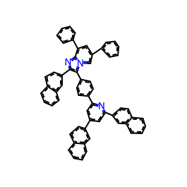 c1ccc(-c2cc(-c3ccccc3)c3nc(-c4ccc5ccccc5c4)c(-c4ccc(-c5cc(-c6ccc7ccccc7c6)cc(-c6ccc7ccccc7c6)n5)cc4)n3c2)cc1